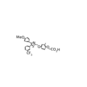 COc1ccc(-c2nc(COc3ccc(OCC(=O)O)c(C)c3)sc2-c2cccc(C(F)(F)F)c2)cc1